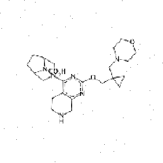 O=C(O)N1C2CCC1CN(c1nc(OCC3(CN4CCOCC4)CC3)nc3c1CCNC3)C2